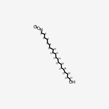 O=C=NCCCCCCCCCCCCCCCCCCCCO